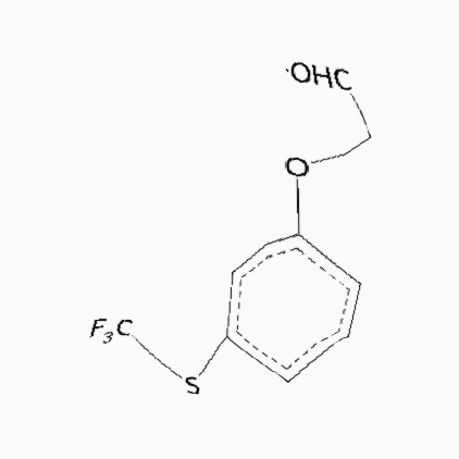 O=[C]COc1cccc(SC(F)(F)F)c1